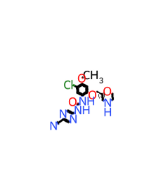 COc1cc(OC[C@@H]2CNCCO2)c(NC(=O)Nc2cnc(C#N)cn2)cc1Cl